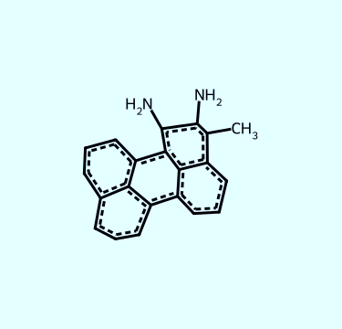 Cc1c(N)c(N)c2c3cccc4cccc(c5cccc1c52)c43